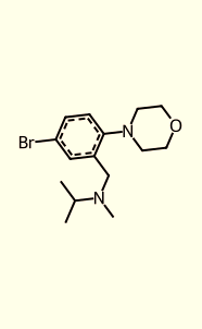 CC(C)N(C)Cc1cc(Br)ccc1N1CCOCC1